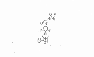 O=C(NC[C@@H]1CC(=O)N(c2cc(F)c(N3CCNN(C(=O)c4ccco4)CC3)c(F)c2)C1)C(F)F